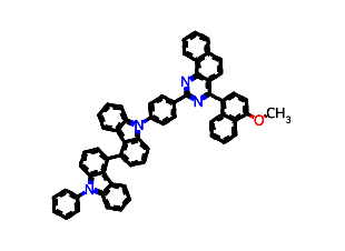 COc1ccc(-c2nc(-c3ccc(-n4c5ccccc5c5c(-c6cccc7c6c6ccccc6n7-c6ccccc6)cccc54)cc3)nc3c2ccc2ccccc23)c2ccccc12